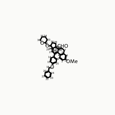 COc1ccc2c(c1)CC[C@]1(C=O)C2=C(c2ccc(OCc3ccccc3)cc2)C[C@]2(C)[C@@H](OC3CCCCO3)CC[C@H]21